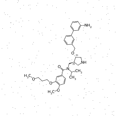 COCCCOc1cc(C(=O)N(C[C@@H]2CNC[C@H]2OCc2cccc(-c3cccc(N)c3)c2)C(C)C)ccc1OC